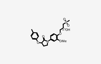 COc1cc(N2CCC(Oc3ccc(C)cc3)C2=O)ccc1OC[C@@H](O)CS(C)(=O)=O